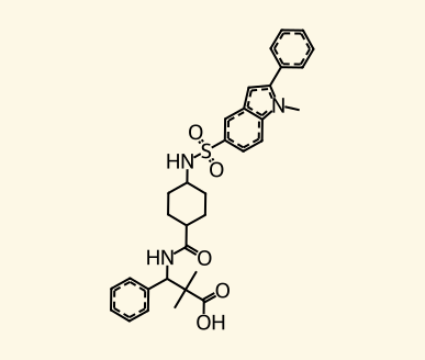 Cn1c(-c2ccccc2)cc2cc(S(=O)(=O)NC3CCC(C(=O)NC(c4ccccc4)C(C)(C)C(=O)O)CC3)ccc21